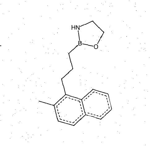 Cc1ccc2ccccc2c1CCCB1NCCO1